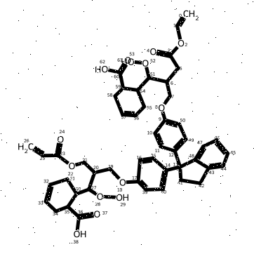 C=COC(=O)CC(COc1ccc(C2(c3ccc(OCC(COC(=O)C=C)C(OO)C4CC=CCC4C(=O)O)cc3)CCc3ccccc32)cc1)C(OO)C1CC=CCC1C(=O)O